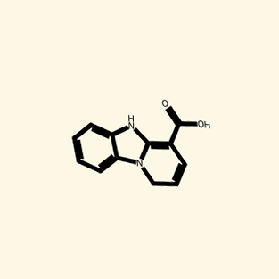 O=C(O)C1=C2Nc3ccccc3N2CC=C1